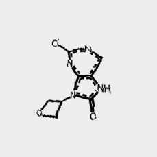 O=c1[nH]c2cnc(Cl)nc2n1C1COC1